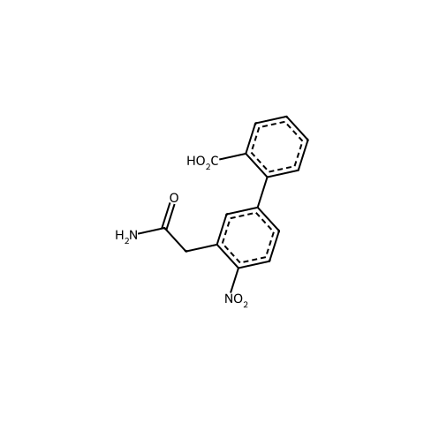 NC(=O)Cc1cc(-c2ccccc2C(=O)O)ccc1[N+](=O)[O-]